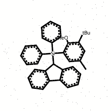 COc1c(C(C)(C)C)cc(C)cc1[Si](c1ccccc1)(c1ccccc1)C1c2ccccc2-c2ccccc21